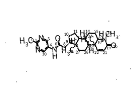 Cc1ncc(NC(=O)C[C@H]2CC[C@H]3[C@@H]4CC[C@H]5N(C)C(=O)C=C[C@]5(C)[C@H]4CC[C@]23C)cn1